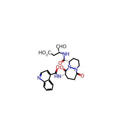 O=C[C@H](CC(=O)O)NC(=O)[C@@H]1CCCN2C(=O)CC[C@H](NC(=O)c3ccnc4ccccc34)C(=O)N12